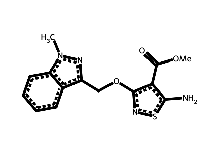 COC(=O)c1c(OCc2nn(C)c3ccccc23)nsc1N